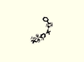 CC(C)(C)NS(=O)(=O)c1ccc([C@@H]2[C@@H](c3nc(C4CCCCC4)no3)C2(C)C)cn1